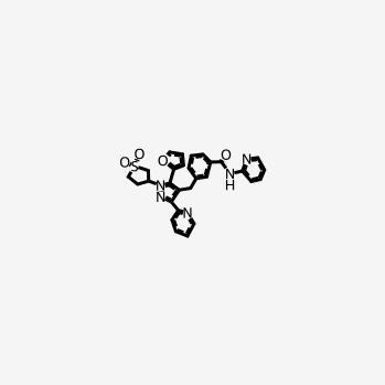 O=C(Nc1ccccn1)c1cccc(Cc2c(-c3ccccn3)nn(C3CCS(=O)(=O)C3)c2-c2ccco2)c1